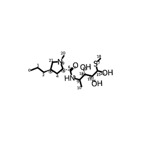 CCC[C@@H]1C[C@@H](C(=O)NC(C)[C@H](O)[C@@H](O)C(O)SC)N(C)C1